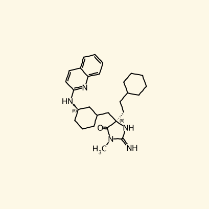 CN1C(=N)N[C@](CCC2CCCCC2)(CC2CCC[C@@H](Nc3ccc4ccccc4n3)C2)C1=O